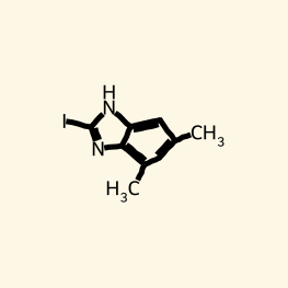 Cc1cc(C)c2nc(I)[nH]c2c1